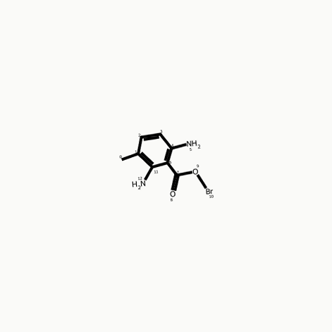 Cc1ccc(N)c(C(=O)OBr)c1N